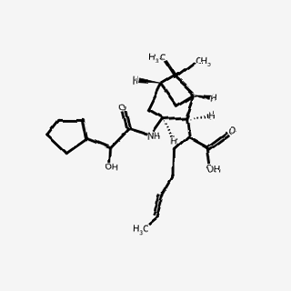 CC=CCCC(C(=O)O)[C@H]1[C@@H](NC(=O)C(O)C2CCCC2)C[C@H]2C[C@@H]1C2(C)C